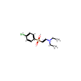 CCN(/C=C/S(=O)(=O)c1ccc(Br)cc1)CC